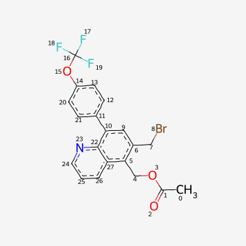 CC(=O)OCc1c(CBr)cc(-c2ccc(OC(F)(F)F)cc2)c2ncccc12